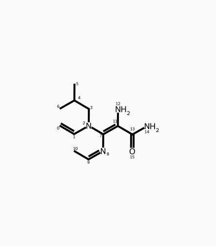 C=CN(CC(C)C)C(/N=C\C)=C(\N)C(N)=O